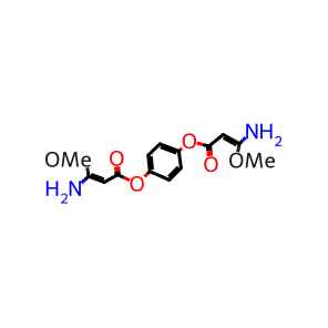 CO/C(N)=C\C(=O)Oc1ccc(OC(=O)/C=C(/N)OC)cc1